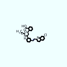 COC(=O)NC(CCc1ccccc1C(=O)O)c1cccc(/C=C/c2ccc3ccc(Cl)cc3n2)c1